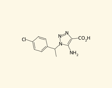 CC(c1ccc(Cl)cc1)n1nnc(C(=O)O)c1N